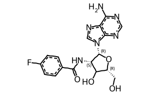 Nc1ncnc2c1ncn2[C@@H]1O[C@H](CO)C(O)[C@@H]1NC(=O)c1ccc(F)cc1